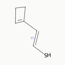 S/C=C/C1=CCC1